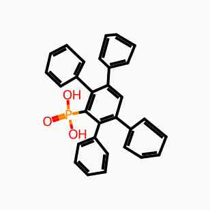 O=P(O)(O)c1c(-c2ccccc2)c(-c2ccccc2)cc(-c2ccccc2)c1-c1ccccc1